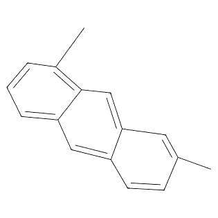 Cc1ccc2cc3cccc(C)c3cc2c1